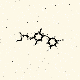 CCN(C)/C=N/c1cc(C)c(Oc2cc(F)cc(I)c2)cc1C